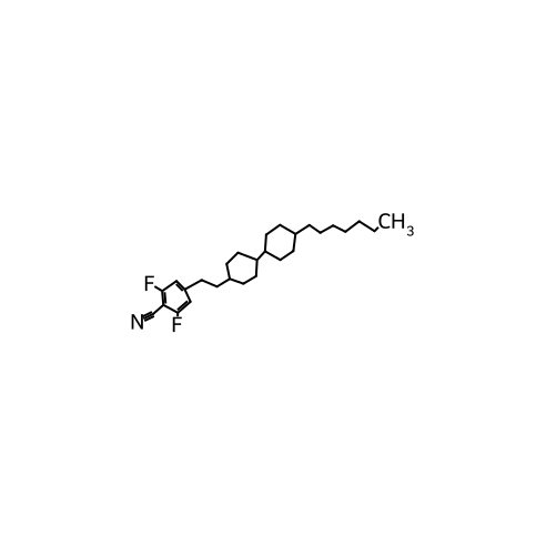 CCCCCCCC1CCC(C2CCC(CCc3cc(F)c(C#N)c(F)c3)CC2)CC1